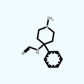 CN1CCC(NC=O)(c2ccccc2)CC1